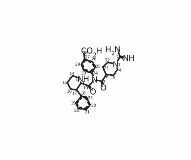 N=C(N)N1CCC(C(=O)N(C(=O)C2NCCCC2c2ccccc2)c2ccc(C(=O)O)cc2)CC1